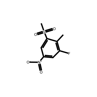 Cc1c(F)cc([N+](=O)[O-])cc1S(C)(=O)=O